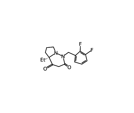 CC[C@]12CCCN1N(Cc1cccc(F)c1F)C(=O)CC2=O